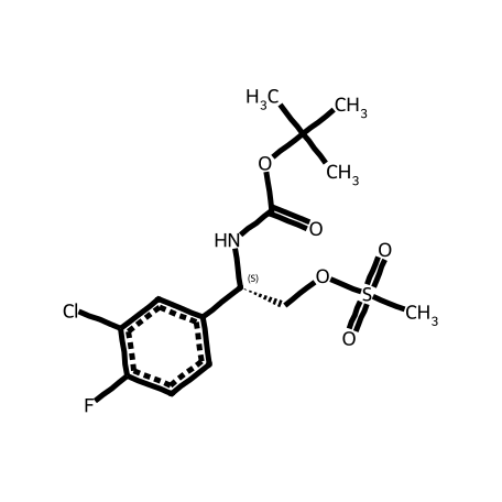 CC(C)(C)OC(=O)N[C@H](COS(C)(=O)=O)c1ccc(F)c(Cl)c1